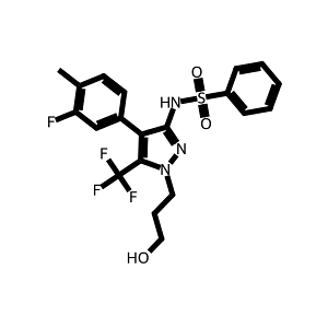 Cc1ccc(-c2c(NS(=O)(=O)c3ccccc3)nn(CCCO)c2C(F)(F)F)cc1F